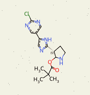 CC(C)(C)C(=O)OC1NCC[C@H]1c1ncc(-c2cnc(Cl)nc2)[nH]1